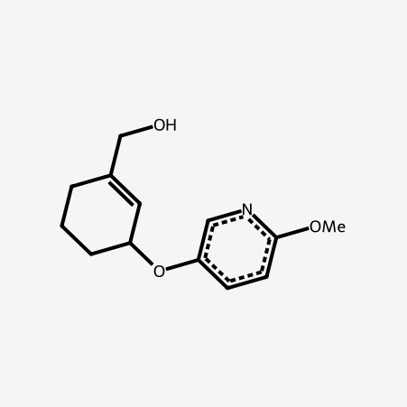 COc1ccc(OC2C=C(CO)CCC2)cn1